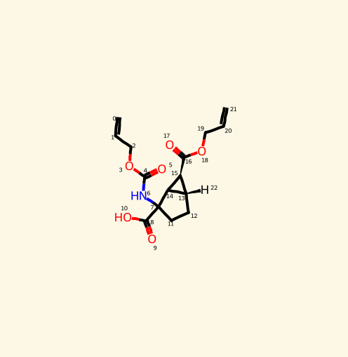 C=CCOC(=O)NC1(C(=O)O)CC[C@@H]2C1[C@H]2C(=O)OCC=C